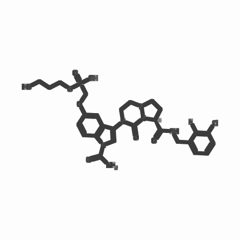 NC(=O)n1cc(N2CCN3CC[C@@H](C(=O)NCc4cccc(Cl)c4F)N3C2=O)c2cc(OCP(=O)(O)OCCCO)ccc21